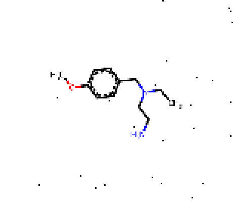 CCN(CCN)Cc1ccc(OC)cc1